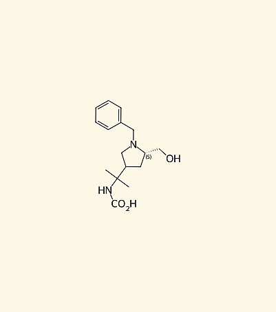 CC(C)(NC(=O)O)C1C[C@@H](CO)N(Cc2ccccc2)C1